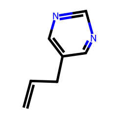 C=CCc1cncnc1